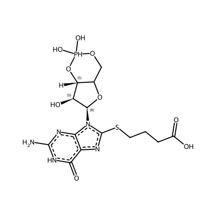 Nc1nc2c(nc(SCCCC(=O)O)n2[C@@H]2OC3CO[PH](O)(O)O[C@H]3[C@@H]2O)c(=O)[nH]1